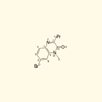 CC(C)c1nc2ccc(Br)cc2n(C)c1=O